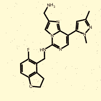 Cc1cc(-c2cnc(NCc3c(F)ccc4c3CCO4)n3cc(CN)nc23)n(C)n1